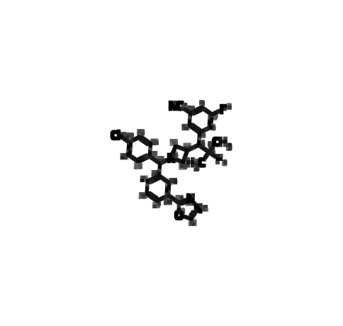 CC(C)(F)C(c1cc(F)cc(C#N)c1)C1CN(C(c2ccc(Cl)cc2)c2cccc(-c3nnco3)c2)C1